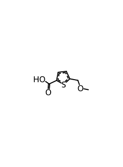 COCc1ccc(C(=O)O)s1